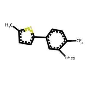 CCCCCCc1cc(-c2ccc(C)s2)ccc1C(F)(F)F